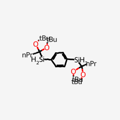 CCCC(OC(C)(C)C)(OC(C)(C)C)[SiH2]c1ccc([SiH2]C(CCC)(OC(C)(C)C)OC(C)(C)C)cc1